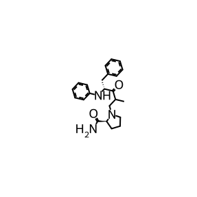 CC(CN1CCC[C@H]1C(N)=O)C(=O)[C@@H](Cc1ccccc1)Nc1ccccc1